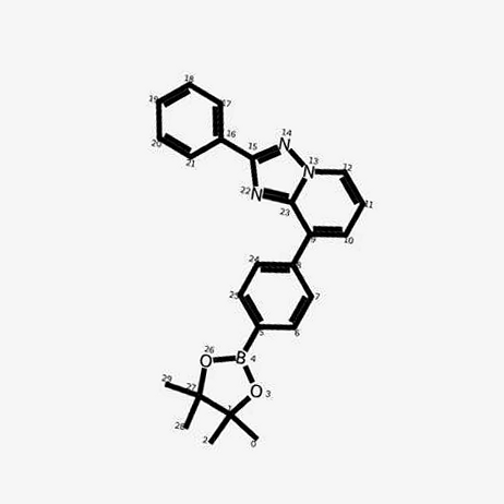 CC1(C)OB(c2ccc(-c3cccn4nc(-c5ccccc5)nc34)cc2)OC1(C)C